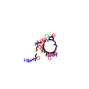 CNCCN(C)C(=O)CCSCCC(=O)N(C)[C@@H](C)C(=O)O[C@H]1CC(=O)N(C)C2=CC(=C[C@](C)(OC)C2Cl)C/C(C)=C/C=C/[C@@H](OC)[C@@]2(O)C[C@H](OC(=O)N2)[C@@H](C)[C@@H]2O[C@@]12C